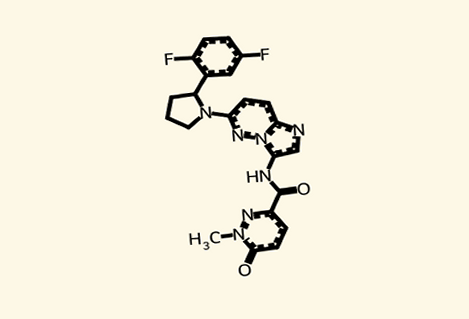 Cn1nc(C(=O)Nc2cnc3ccc(N4CCCC4c4cc(F)ccc4F)nn23)ccc1=O